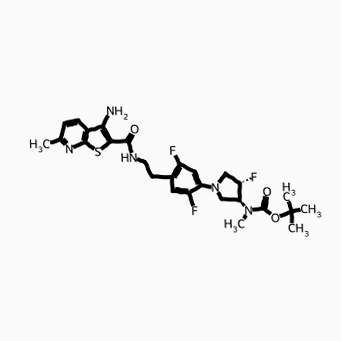 Cc1ccc2c(N)c(C(=O)NCCc3cc(F)c(N4C[C@H](F)[C@@H](N(C)C(=O)OC(C)(C)C)C4)cc3F)sc2n1